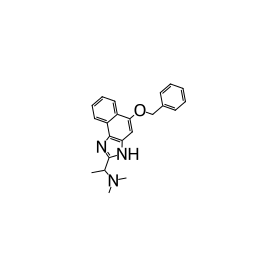 CC(c1nc2c(cc(OCc3ccccc3)c3ccccc32)[nH]1)N(C)C